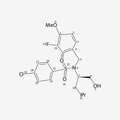 COc1ccc(CN([C@@H](CO)CC(C)C)S(=O)(=O)c2ccc(Cl)cc2)cc1F